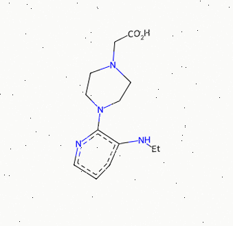 CCNc1cccnc1N1CCN(CC(=O)O)CC1